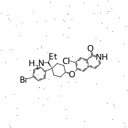 CCC(N)[C@]1(c2ccc(Br)cc2)CC[C@H](Oc2cc3cc[nH]c(=O)c3cc2Cl)CC1